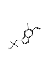 C=Cc1cc2ccn(CC(C)(C)O)c2cc1F